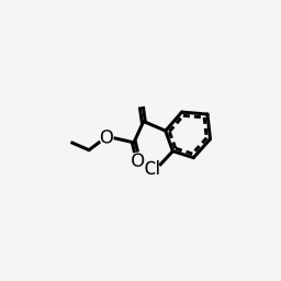 C=C(C(=O)OCC)c1ccccc1Cl